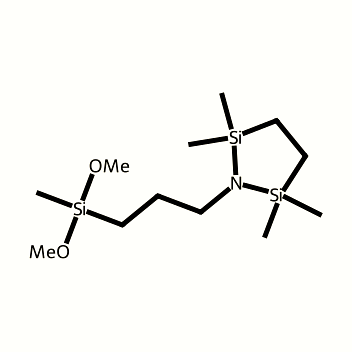 CO[Si](C)(CCCN1[Si](C)(C)CC[Si]1(C)C)OC